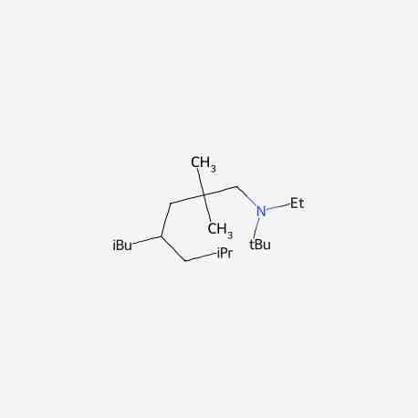 CCC(C)C(CC(C)C)CC(C)(C)CN(CC)C(C)(C)C